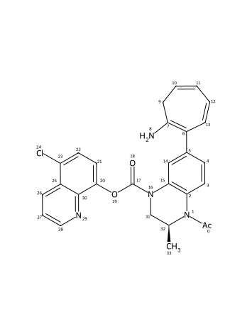 CC(=O)N1c2ccc(C3=C(N)CC=CC=C3)cc2N(C(=O)Oc2ccc(Cl)c3cccnc23)C[C@@H]1C